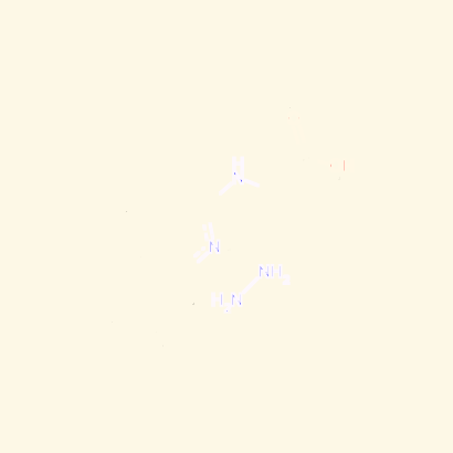 NN.O=C(O)CNc1ccc2ccccc2n1